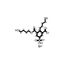 O=C([O-])c1cc(S(=O)(=O)O)cc(C(=O)OCCCCO)c1CCCCO.[Na+]